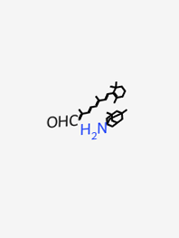 CC12CC3CC(C)(C1)CC(N)(C3)C2.CC1=C(/C=C/C(C)=C/C=C/C(C)=C/C=O)C(C)(C)CCC1